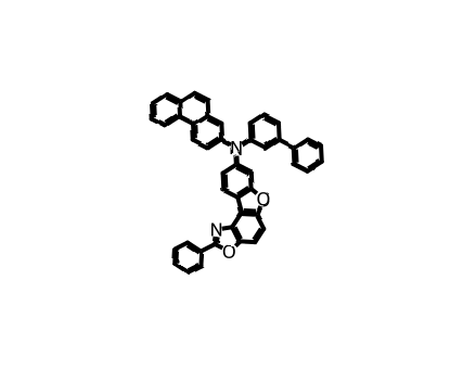 c1ccc(-c2cccc(N(c3ccc4c(ccc5ccccc54)c3)c3ccc4c(c3)oc3ccc5oc(-c6ccccc6)nc5c34)c2)cc1